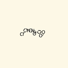 O=C(CN1CCN(c2cccc(Cl)c2)CC1)c1ccc2c(c1)OCCO2